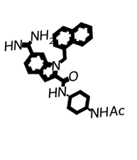 CC(=O)N[C@H]1CC[C@H](NC(=O)c2cc3ccc(C(=N)N)cc3n2Cc2cccc3ccccc23)CC1